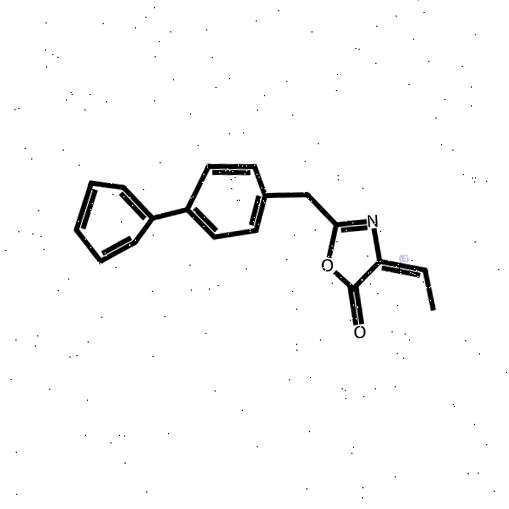 C/C=C1/N=C(Cc2ccc(-c3ccccc3)cc2)OC1=O